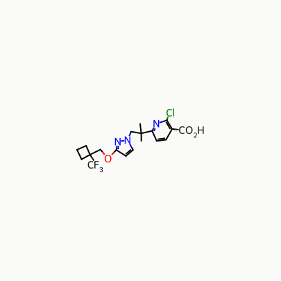 CC(C)(Cn1ccc(OCC2(C(F)(F)F)CCC2)n1)c1ccc(C(=O)O)c(Cl)n1